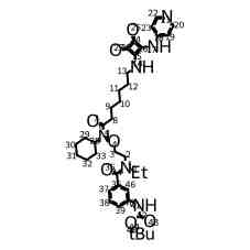 CCN(CCON(C(=O)CCCCCCNc1c(Nc2ccncc2)c(=O)c1=O)C1CCCCC1)C(=O)c1cccc(NC(=O)OC(C)(C)C)c1